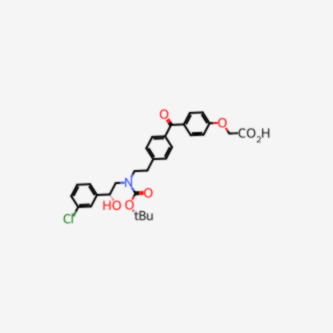 CC(C)(C)OC(=O)N(CCc1ccc(C(=O)c2ccc(OCC(=O)O)cc2)cc1)C[C@H](O)c1cccc(Cl)c1